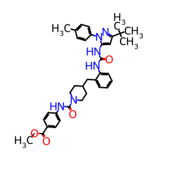 COC(=O)c1ccc(NC(=O)N2CCC(Cc3ccccc3NC(=O)Nc3cc(C(C)(C)C)nn3-c3ccc(C)cc3)CC2)cc1